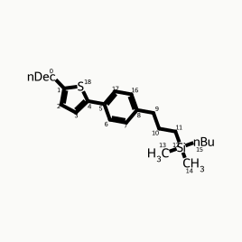 CCCCCCCCCCc1ccc(-c2ccc(CCC[Si](C)(C)CCCC)cc2)s1